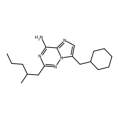 CCCC(C)Cc1nc(N)c2ncc(CC3CCCCC3)n2n1